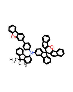 CC1(C)c2ccccc2-c2c(N(c3ccc(-c4ccc5c(c4)oc4ccccc45)cc3)c3ccc4c(c3)-c3ccccc3C43c4ccc5ccccc5c4Oc4c3ccc3ccccc43)cccc21